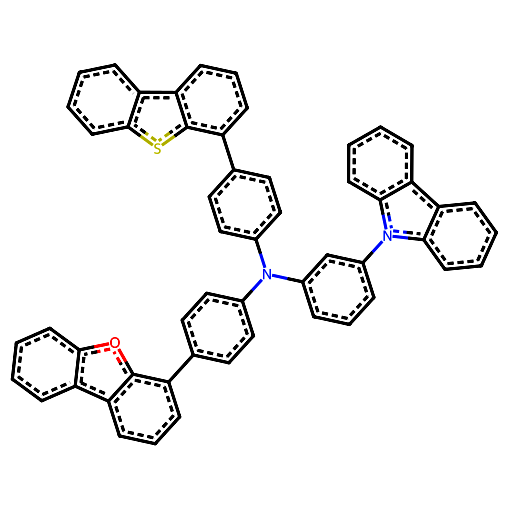 c1cc(N(c2ccc(-c3cccc4c3oc3ccccc34)cc2)c2ccc(-c3cccc4c3sc3ccccc34)cc2)cc(-n2c3ccccc3c3ccccc32)c1